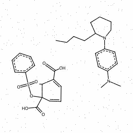 CC1C(C(=O)O)=CC=CC1(OS(=O)(=O)c1ccccc1)C(=O)O.CCCCC1CCCCN1c1ccc(N(C)C)cc1